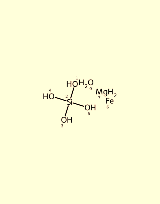 O.O[Si](O)(O)O.[Fe].[MgH2]